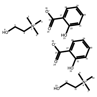 C[N+](C)(C)CCO.C[N+](C)(C)CCO.O=C([O-])c1ccccc1O.O=C([O-])c1ccccc1O